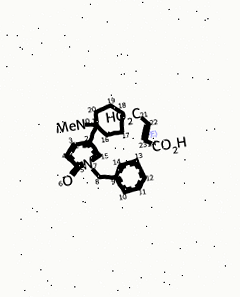 CNC1(c2ccc(=O)n(Cc3ccccc3)c2)CCCCC1.O=C(O)/C=C/C(=O)O